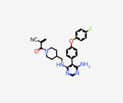 C=C(C#N)C(=O)N1CCC(CNc2ncnc(N)c2-c2ccc(Oc3ccc(F)cc3)cc2)CC1